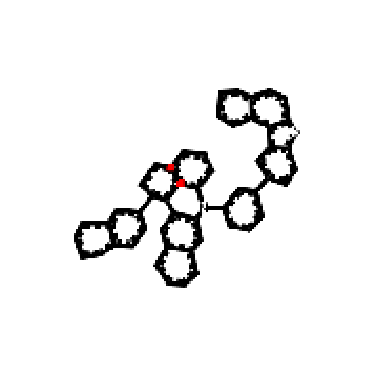 c1ccc(N(c2cccc(-c3ccc4sc5ccc6ccccc6c5c4c3)c2)c2cc3ccccc3cc2-c2ccccc2-c2ccc3ccccc3c2)cc1